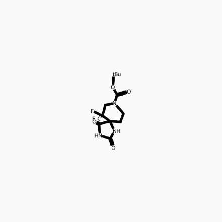 CC(C)(C)OC(=O)N1CCC2(NC(=O)NC2=O)C(F)(C(F)(F)F)C1